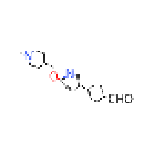 CN1CCC(COc2ccc(C3=CCC(C=O)CC3)cn2)CC1